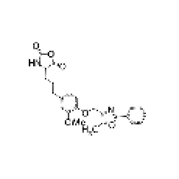 COc1cc(CCCC2NC(=O)OC2=O)ccc1OCc1nc(-c2ccccc2)oc1C